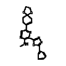 CNc1ncc(C2=CCC3(CC2)OCCO3)nc1-c1nnc(-c2ccccc2)o1